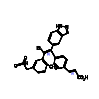 CC/C(=C(/c1ccc(/C=C/C(=O)O)cc1)c1ccc2[nH]ncc2c1)c1cc(C[SH](=O)=O)ccc1C